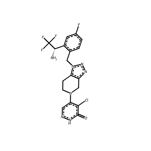 N[C@@H](c1cc(F)ccc1Cn1nnc2c1CCN(c1cn[nH]c(=O)c1Cl)C2)C(F)(F)F